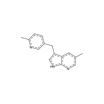 Cc1cnc2[nH]cc(Cc3ccc(C)nc3)c2c1